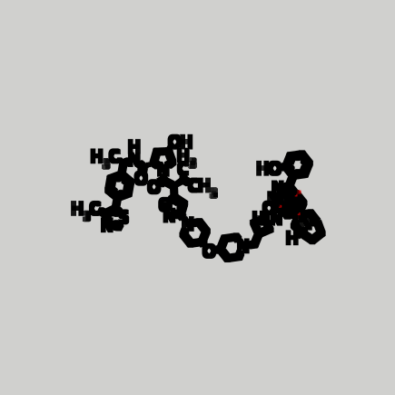 Cc1ncsc1-c1ccc([C@H](C)NC(=O)[C@@H]2C[C@@H](O)CN2C(=O)[C@H](c2cc(N3CCC(OC4CCN(CC5CC(Oc6cc(N7C8CC[C@@H]7CN(c7cc(-c9ccccc9O)nnc7N)C8)ccn6)C5)CC4)CC3)no2)C(C)C)cc1